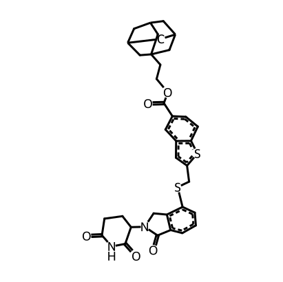 O=C1CCC(N2Cc3c(SCc4cc5cc(C(=O)OCCC67CC8CC(CC(C8)C6)C7)ccc5s4)cccc3C2=O)C(=O)N1